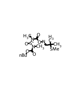 CCCCOC(=O)N(C)[S+]([O-])N(C)C(=O)ON=CC(C)(C)SC